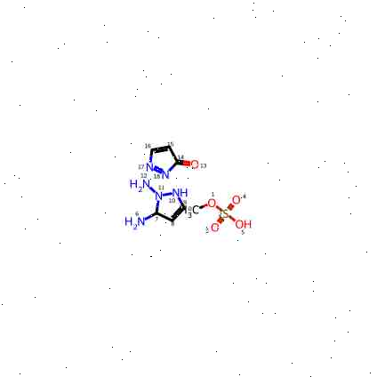 COS(=O)(=O)O.NC1C=CNN1N.O=C1C=CN=N1